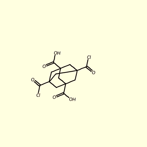 O=C(O)C12CC3(C(=O)O)CC(C(=O)Cl)(C1)CC(C(=O)Cl)(C2)C3